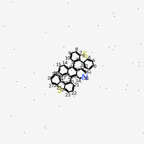 c1ccc2c(c1)sc1cccc(-c3c4ccccc4c(-c4cccc5sc6ccccc6c45)c4cnccc34)c12